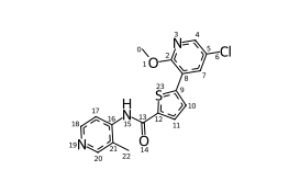 COc1ncc(Cl)cc1-c1ccc(C(=O)Nc2ccncc2C)s1